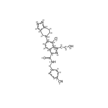 N#Cc1ccc(CNC(=O)c2nn(CCO)c3c(Cl)c(N4CCn5nncc5C4)ccc23)cc1